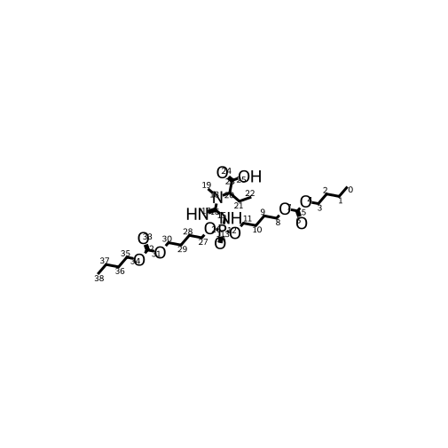 CCCCOC(=O)OCCCCOP(=O)(NC(=N)N(C)C(CC)C(=O)O)OCCCCOC(=O)OCCCC